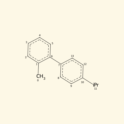 Cc1ccccc1-c1ccc(C(C)C)cc1